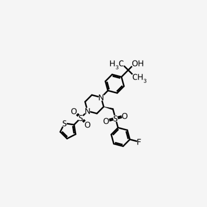 CC(C)(O)c1ccc(N2CCN(S(=O)(=O)c3cccs3)C[C@@H]2CS(=O)(=O)c2cccc(F)c2)cc1